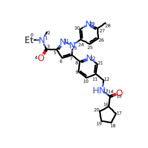 CCN(C)C(=O)c1cc(-c2ccc(CNC(=O)C3CCCC3)cn2)n(-c2ccc(C)nc2)n1